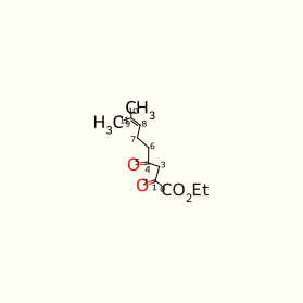 CCOC(=O)C(=O)CC(=O)CCC=C(C)C